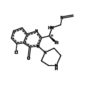 C=NCN[C@@H](CC)c1nc2cccc(Cl)c2c(=O)n1N1CCNCC1